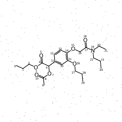 CCCOC(=O)C(OC(C)=O)c1ccc(OCC(=O)N(CC)CCC)c(OCCC)c1